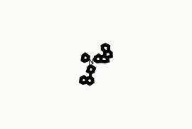 c1ccc(N(c2ccc(-c3cccc4ccccc34)cc2)c2ccc3c(ccc4ccc5ccccc5c43)c2)cc1